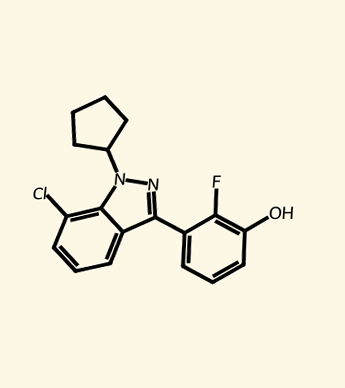 Oc1cccc(-c2nn(C3CCCC3)c3c(Cl)cccc23)c1F